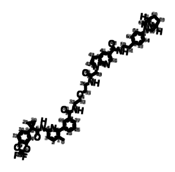 Cc1ccc(NC(=O)C2(c3ccc4c(c3)OC(F)(F)O4)CC2)nc1-c1cccc(C(=O)NCCOCCNC(=O)Cn2ccc3cc(C(=O)NCCc4ccc(N5C[C@H]6CC[C@@H](C5)N6)cc4)cnc32)c1